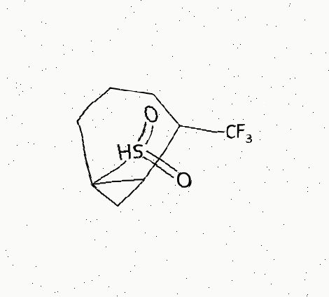 O=[SH](=O)C12CCCC(C(F)(F)F)C1C2